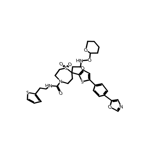 O=C(CC1(c2ccc(-c3ccc(-c4cnco4)cc3)s2)CCN(C(=O)NCCc2cccs2)CCS1(=O)=O)NOC1CCCCO1